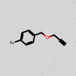 C#CCOCc1ccc(C(C)=O)cc1